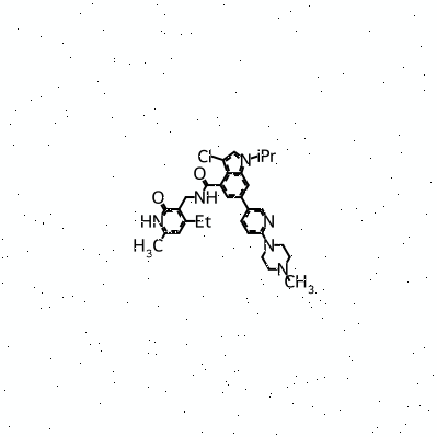 CCc1cc(C)[nH]c(=O)c1CNC(=O)c1cc(-c2ccc(N3CCN(C)CC3)nc2)cc2c1c(Cl)cn2C(C)C